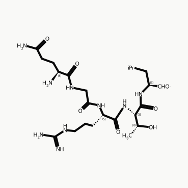 CC(C)C[C@@H]([C]=O)NC(=O)[C@@H](NC(=O)[C@H](CCCNC(=N)N)NC(=O)CNC(=O)[C@@H](N)CCC(N)=O)[C@@H](C)O